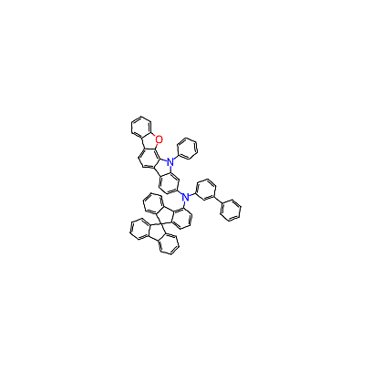 c1ccc(-c2cccc(N(c3ccc4c5ccc6c7ccccc7oc6c5n(-c5ccccc5)c4c3)c3cccc4c3-c3ccccc3C43c4ccccc4-c4ccccc43)c2)cc1